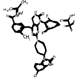 Cc1ccc(C(=O)NC(C)C)cc1-c1nc(N2CCC(n3c(=O)[nH]c4cc(Cl)ccc43)CC2)nc2c1CNC(=O)N2c1c(F)cccc1F.O=C(O)C(F)(F)F